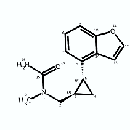 CN(C[C@@H]1C[C@H]1c1cccc2occc12)C(N)=O